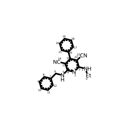 CCNc1nc(NCc2ccccc2)c(C#N)c(-c2ccccc2)c1C#N